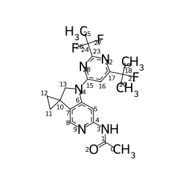 CC(=O)Nc1cc2c(cn1)C1(CC1)CN2c1cc(C(C)(C)F)nc(C(C)(F)F)n1